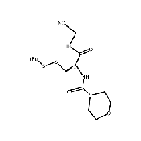 CC(C)(C)SSC[C@H](NC(=O)N1CCOCC1)C(=O)NCC#N